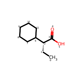 CC[C@@H](C(=O)O)C1CCCCC1